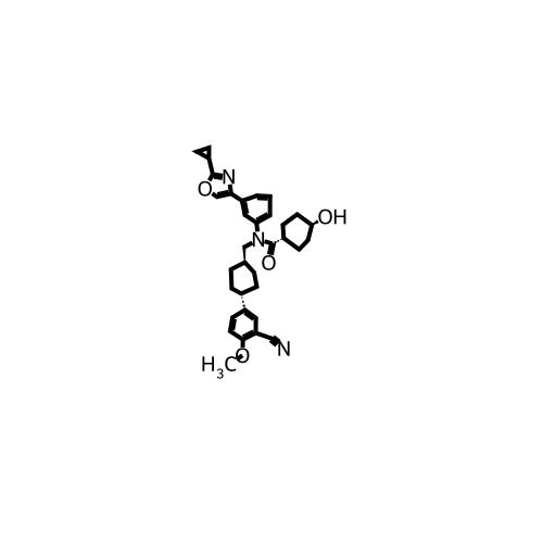 COc1ccc([C@H]2CC[C@H](CN(c3cccc(-c4coc(C5CC5)n4)c3)C(=O)[C@H]3CC[C@H](O)CC3)CC2)cc1C#N